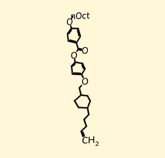 C=CCCCC1CCC(COc2ccc(OC(=O)c3ccc(OCCCCCCCC)cc3)cc2)CC1